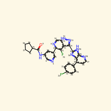 O=C(Nc1cncc(-c2ncc3[nH]nc(-c4nc5c(-c6ccc(F)cc6)ccnc5[nH]4)c3c2F)c1)C1CCCC1